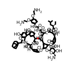 CC[C@H](CC(C)C)C(=O)N[C@H]1C(=O)C[C@@H](CC(=O)NC(=O)Nc2ccc(OCCN)c(OCCN)c2)C(=O)N[C@H]2C(=O)C[C@H]3C(=O)N[C@H](C(=O)N[C@H](C(=O)CC4C5CC6CC(C5)CC4C6)c4cc(O)cc(O)c4-c4cc3ccc4O)[C@H](O)c3ccc(c(Cl)c3)Oc3cc2cc(c3O[C@@H]2O[C@H](CN)[C@@H](O)[C@H](O)[C@H]2O)Oc2ccc(cc2Cl)[C@H]1O